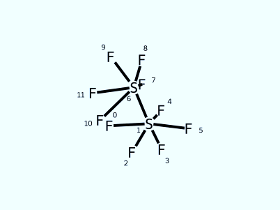 FS(F)(F)(F)(F)S(F)(F)(F)(F)F